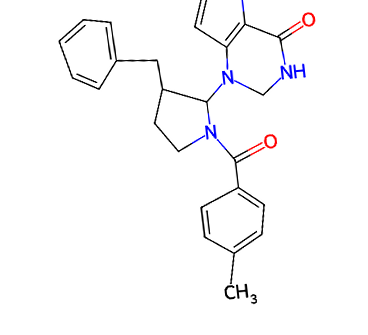 Cc1ccc(C(=O)N2CCC(Cc3ccccc3)C2N2CNC(=O)c3[nH]ccc32)cc1